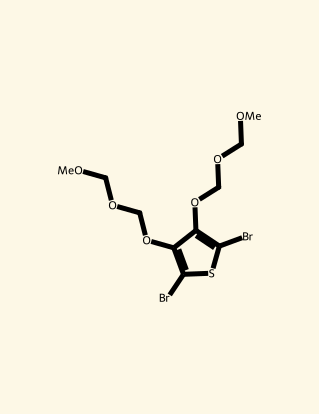 COCOCOc1c(Br)sc(Br)c1OCOCOC